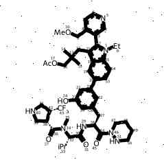 CCn1c(-c2cnccc2COC)c(CC(C)(C)COC(C)=O)c2cc(-c3cc(O)cc(C[C@H](NC(=O)[C@H](C(C)C)N(C)C(=O)[C@@H]4CNC[C@@H]4C(F)(F)F)C(=O)N4CCCCN4)c3)ccc21